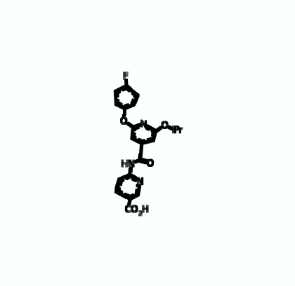 CC(C)Oc1cc(C(=O)Nc2ccc(C(=O)O)cn2)cc(Oc2ccc(F)cc2)n1